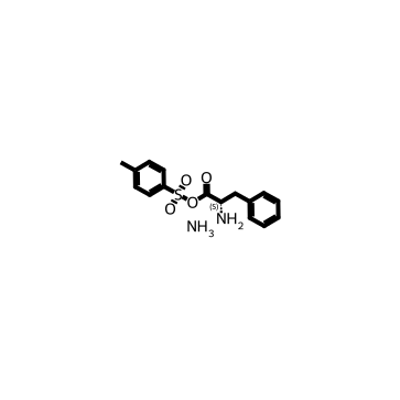 Cc1ccc(S(=O)(=O)OC(=O)[C@@H](N)Cc2ccccc2)cc1.N